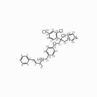 CC(/C=C/c1ccccc1)NCc1ccc(OCC(O)(Cn2ccnc2)c2ccc(Cl)cc2Cl)cc1